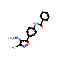 Cc1noc(-c2ccc(NC(=O)c3ccccc3)cc2)c1NC(=O)O